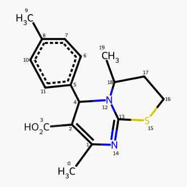 CC1=C(C(=O)O)C(c2ccc(C)cc2)N2C(=N1)SCCC2C